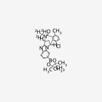 [2H]C([2H])([2H])N1C(=O)c2c(C)ccc(Cl)c2[C@H]2C[C@@H]1c1nc3ccc(B4OC(C)(C)C(C)(C)O4)cc3n12